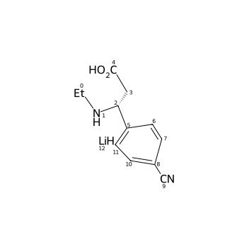 CCN[C@H](CC(=O)O)c1ccc(C#N)cc1.[LiH]